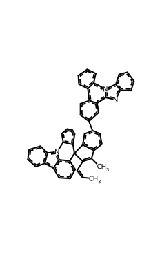 C/C=C\C1=C(C)c2ccc(-c3ccc4c5ccccc5n5c6ccccc6nc5c4c3)cc2C12c1ccccc1-n1c3ccccc3c3cccc2c31